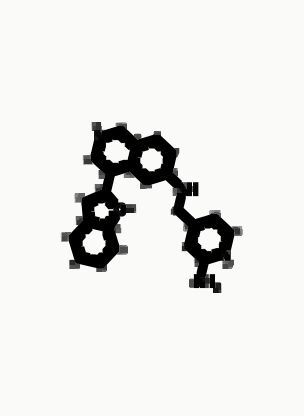 Nc1cc(CNc2ccc3cncc(-c4cc5ccccc5o4)c3c2)ccn1